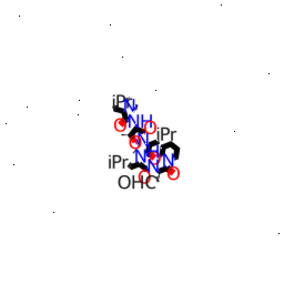 CC(C)CC(C(=O)N[C@@H]1C(=O)N(C(CC(C)C)C(=O)N(C)C(CC(C)C)C(=O)N[C@@H](CC=O)C(=O)N2CCCCC2)O[C@@H]1C)N(C)C